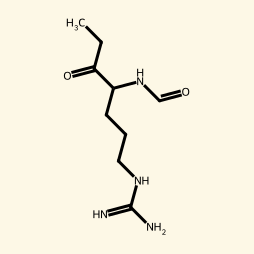 CCC(=O)C(CCCNC(=N)N)NC=O